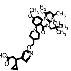 COc1ccc(C(=O)N(CC(C)(C)C)c2nc(C)cc(C)n2)c(N2CCC(COc3cc(C(CC(=O)O)C4CC4)ccn3)CC2)c1